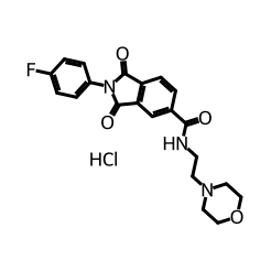 Cl.O=C(NCCN1CCOCC1)c1ccc2c(c1)C(=O)N(c1ccc(F)cc1)C2=O